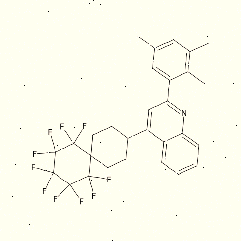 Cc1cc(C)c(C)c(-c2cc(C3CCC4(CC3)C(F)(F)C(F)(F)C(F)(F)C(F)(F)C4(F)F)c3ccccc3n2)c1